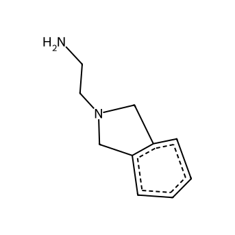 NCCN1Cc2ccccc2C1